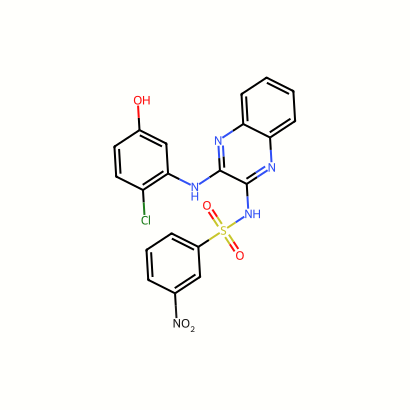 O=[N+]([O-])c1cccc(S(=O)(=O)Nc2nc3ccccc3nc2Nc2cc(O)ccc2Cl)c1